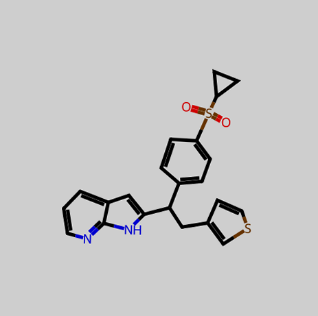 O=S(=O)(c1ccc(C(Cc2ccsc2)c2cc3cccnc3[nH]2)cc1)C1CC1